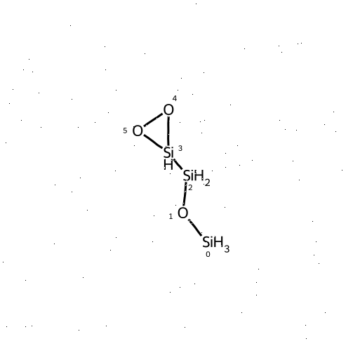 [SiH3]O[SiH2][SiH]1OO1